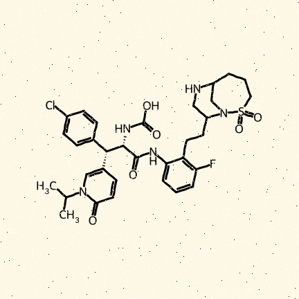 CC(C)n1cc([C@H](c2ccc(Cl)cc2)[C@H](NC(=O)O)C(=O)Nc2cccc(F)c2CCC2CNC3CCCS(=O)(=O)N2C3)ccc1=O